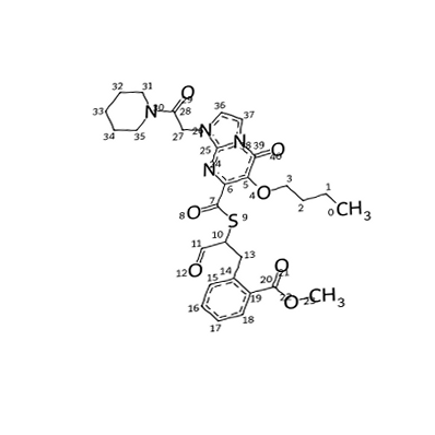 CCCCOc1c(C(=O)SC(C=O)Cc2ccccc2C(=O)OC)nc2n(CC(=O)N3CCCCC3)ccn2c1=O